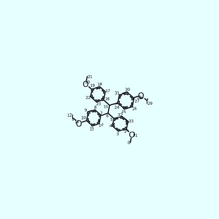 COc1ccc(C(c2ccc(OI)cc2)C(c2ccc(OC)cc2)c2ccc(OI)cc2)cc1